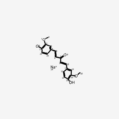 COc1cc(C=CC(=O)C=Cc2ccc(O)c(OC)c2)ccc1[O-].[Na+]